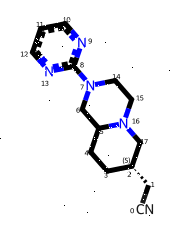 N#CC[C@@H]1CCC2CN(c3ncccn3)CCN2C1